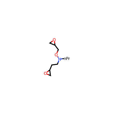 CCCN(CCC1CO1)OCC1CO1